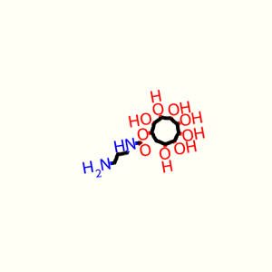 NCCCNC(=O)OC1CC(O)C(O)C(O)C(O)C(O)C(O)C1O